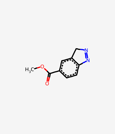 COC(=O)c1ccc2c(c1)CN=N2